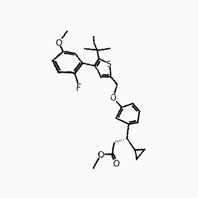 COC(=O)C[C@H](c1cccc(OCc2cc(-c3cc(OC)ccc3F)c(C(C)(C)C)s2)c1)C1CC1